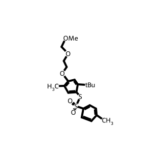 COCOCCOc1cc(C(C)(C)C)c(SS(=O)(=O)c2ccc(C)cc2)cc1C